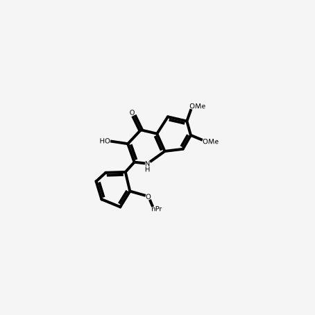 CCCOc1ccccc1-c1[nH]c2cc(OC)c(OC)cc2c(=O)c1O